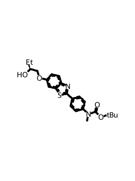 CC[C@H](O)COc1ccc2nc(-c3ccc(N(C)C(=O)OC(C)(C)C)cc3)sc2c1